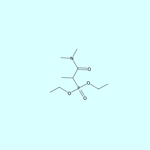 CCOP(=O)(OCC)C(C)C(=O)N(C)C